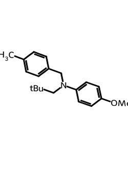 COc1ccc(N(Cc2ccc(C)cc2)CC(C)(C)C)cc1